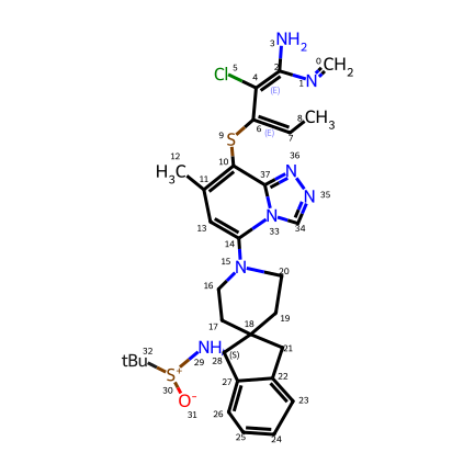 C=N/C(N)=C(Cl)\C(=C/C)Sc1c(C)cc(N2CCC3(CC2)Cc2ccccc2[C@H]3N[S+]([O-])C(C)(C)C)n2cnnc12